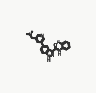 CN(C)Cc1cncc(-c2ccc3[nH]nc(C(=O)Nc4ccccc4F)c3c2)c1